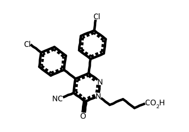 N#Cc1c(-c2ccc(Cl)cc2)c(-c2ccc(Cl)cc2)nn(CCCC(=O)O)c1=O